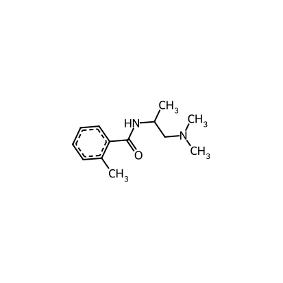 Cc1ccccc1C(=O)NC(C)CN(C)C